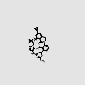 CC1(Cn2cc(Nc3nc(N)nc(-c4cccc(N5CCc6cc(C7CC7)cc(F)c6C5=O)c4CO)n3)cn2)CC1